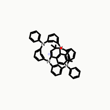 Cc1ccc(/C2=C\C(C)(C)N3c4cccc(c4)N(c4ccccc4)c4cccc(c4)N2c2cccc(c2)N(c2ccccc2)c2cccc3c2)c(C)c1C